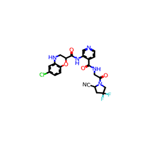 N#CC1CC(F)(F)CN1C(=O)CNC(=O)c1ccncc1NC(=O)C1CNc2cc(Cl)ccc2O1